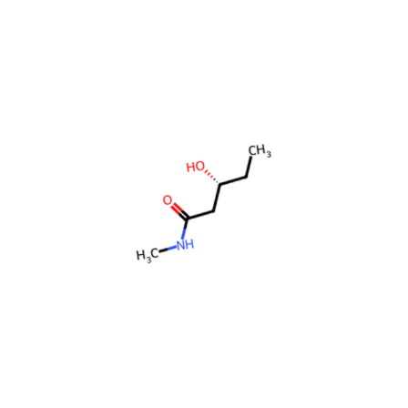 CC[C@@H](O)CC(=O)NC